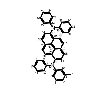 Cc1cccc(N(c2ccccc2)c2ccc3ccc4c(N(c5ccccc5)c5ccccc5)ccc5ccc2c3c54)c1